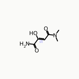 CN(C)C(=O)/C=C(\O)C(N)=O